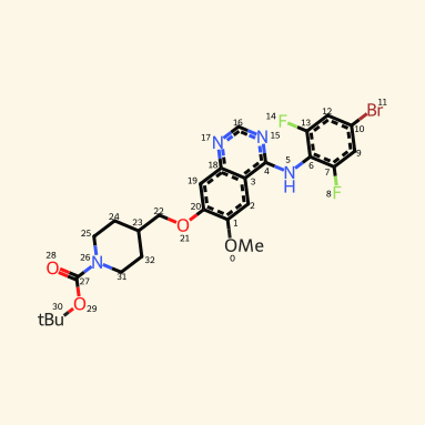 COc1cc2c(Nc3c(F)cc(Br)cc3F)ncnc2cc1OCC1CCN(C(=O)OC(C)(C)C)CC1